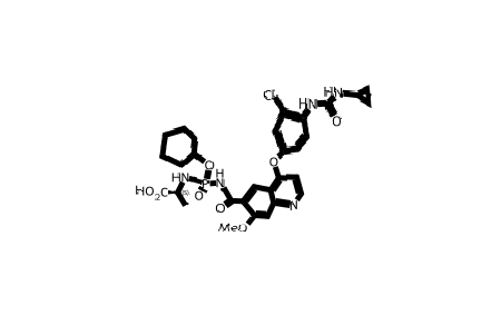 COc1cc2nccc(Oc3ccc(NC(=O)NC4CC4)c(Cl)c3)c2cc1C(=O)NP(=O)(N[C@@H](C)C(=O)O)OC1CCCCC1